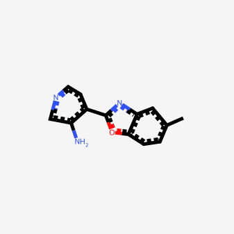 Cc1ccc2oc(-c3ccncc3N)nc2c1